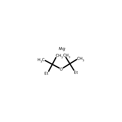 CCC(C)(C)OC(C)(C)CC.[Mg]